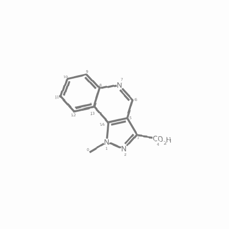 Cn1nc(C(=O)O)c2cnc3ccccc3c21